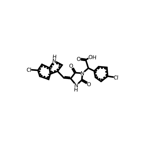 O=C(O)C(c1ccc(Cl)cc1)N1C(=O)NC(=Cc2c[nH]c3cc(Cl)ccc23)C1=O